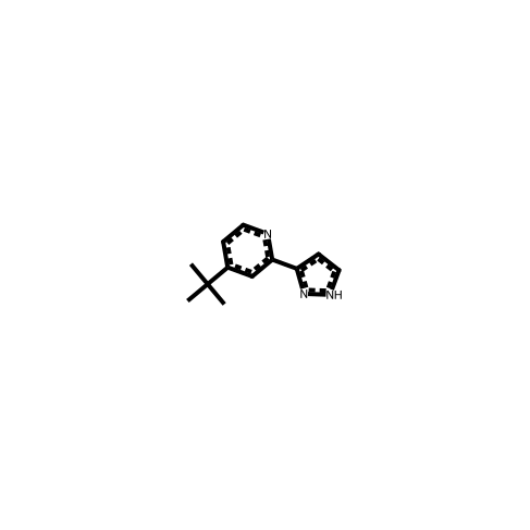 CC(C)(C)c1ccnc(-c2cc[nH]n2)c1